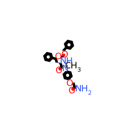 CN(C(=O)[C@H](CCc1ccccc1)NC(=O)OCc1ccccc1)c1ccc(OCC(N)=O)cc1